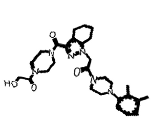 Cc1cccc(N2CCN(C(=O)Cn3nc(C(=O)N4CCN(C(=O)CO)CC4)c4c3CCCC4)CC2)c1C